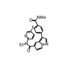 CCN(C(=O)c1ccn2ncc(-c3ccc(C(=O)NC)cc3)c2c1)c1ccc(F)cn1